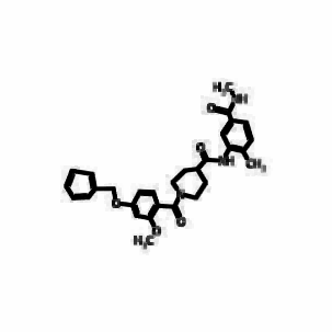 CNC(=O)c1ccc(C)c(NC(=O)C2CCN(C(=O)c3ccc(OCc4ccccc4)cc3OC)CC2)c1